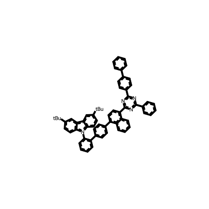 CC(C)(C)c1ccc2c(c1)c1cc(C(C)(C)C)ccc1n2-c1ccccc1-c1ccc(-c2ccc(-c3nc(-c4ccccc4)nc(-c4ccc(-c5ccccc5)cc4)n3)c3ccccc23)cc1